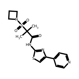 CC(C)(C(=O)Nc1nc(-c2ccncc2)cs1)S(=O)(=O)N1CCC1